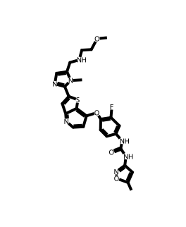 COCCNCc1cnc(-c2cc3nccc(Oc4ccc(NC(=O)Nc5cc(C)on5)cc4F)c3s2)n1C